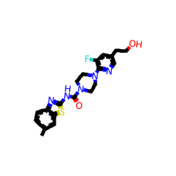 Cc1ccc2nc(NC(=O)N3CCN(c4ncc(CCO)cc4F)CC3)sc2c1